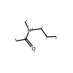 [CH2]CCN(C)C(C)=O